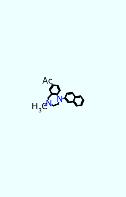 CC(=O)c1ccc2c(c1)CN(C)CCN2c1ccc2ccccc2c1